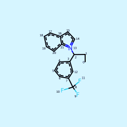 CCC(c1cccc(C(F)(F)F)c1)n1ccc2ccccc21